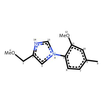 COCc1cn(-c2ccc(C)cc2OC)cn1